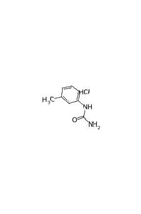 Cc1cccc(NC(N)=O)c1.Cl